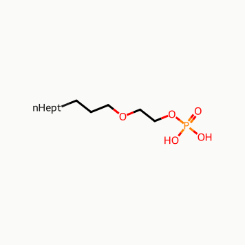 CCCCCCCCCCOCCOP(=O)(O)O